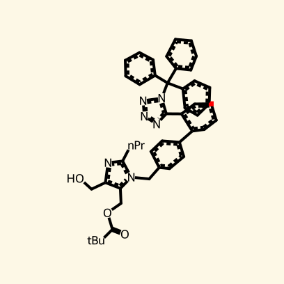 CCCc1nc(CO)c(COC(=O)C(C)(C)C)n1Cc1ccc(-c2ccccc2-c2nnnn2C(c2ccccc2)(c2ccccc2)c2ccccc2)cc1